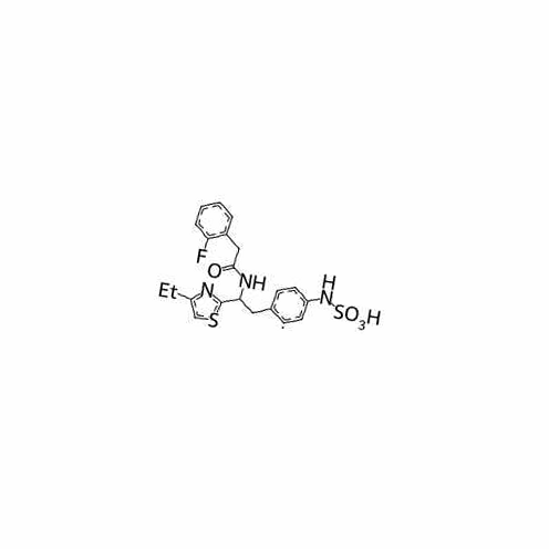 CCc1csc(C(Cc2[c]cc(NS(=O)(=O)O)cc2)NC(=O)Cc2ccccc2F)n1